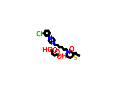 Cc1cc2c(s1)CCCN(CCCCCCN1CCN(c3cccc(Cl)c3)CC1)C2=O.O=C(O)/C=C\C(=O)O